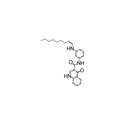 CCCCCCC/C=C\Nc1cccc(NC(=O)c2c[nH]c3ccccc3c2=O)c1